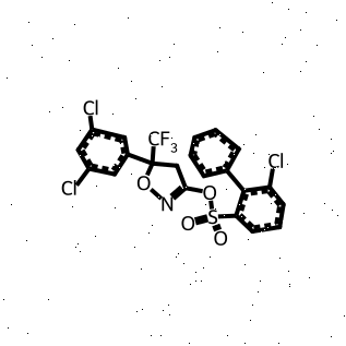 O=S(=O)(OC1=NOC(c2cc(Cl)cc(Cl)c2)(C(F)(F)F)C1)c1cccc(Cl)c1-c1ccccc1